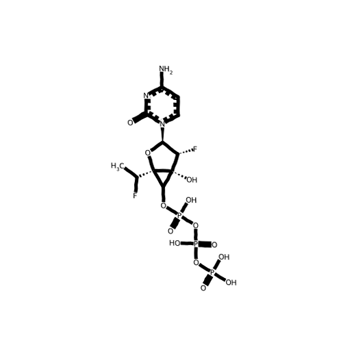 CC(F)[C@]12O[C@@H](n3ccc(N)nc3=O)[C@H](F)[C@@]1(O)C2OP(=O)(O)OP(=O)(O)OP(=O)(O)O